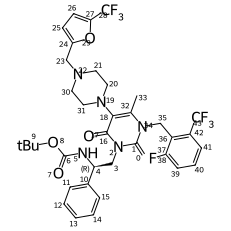 C=C1N(C[C@H](NC(=O)OC(C)(C)C)c2ccccc2)C(=O)C(N2CCN(Cc3ccc(C(F)(F)F)o3)CC2)=C(C)N1Cc1c(F)cccc1C(F)(F)F